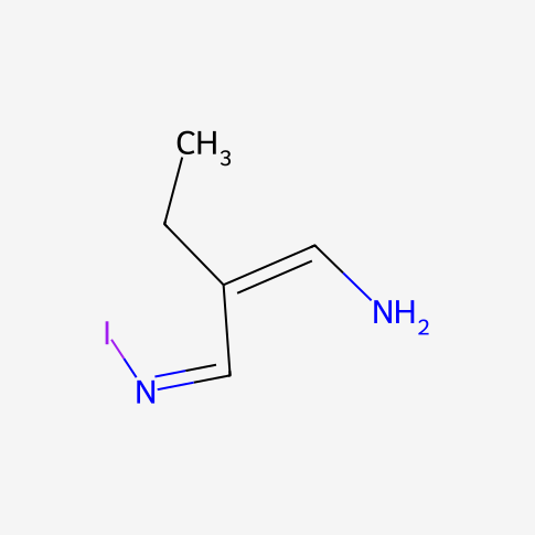 CCC(/C=N\I)=C/N